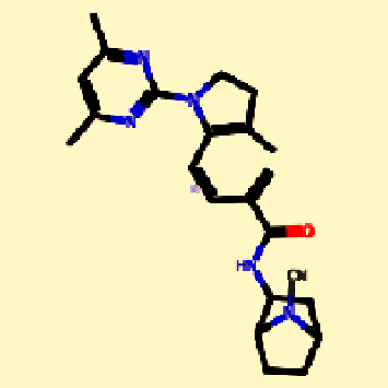 C=C(/C=C\C1=C(C)CCN1c1nc(C)cc(C)n1)C(=O)NC1CC2CCC1N2C#N